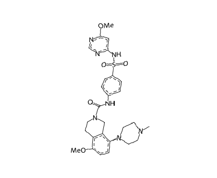 COc1cc(NS(=O)(=O)c2ccc(NC(=O)N3CCc4c(OC)ccc(N5CCN(C)CC5)c4C3)cc2)ncn1